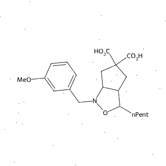 CCCCCC1ON(Cc2cccc(OC)c2)C2CC(C(=O)O)(C(=O)O)CC12